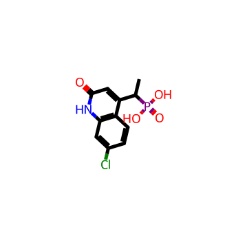 CC(c1cc(=O)[nH]c2cc(Cl)ccc12)P(=O)(O)O